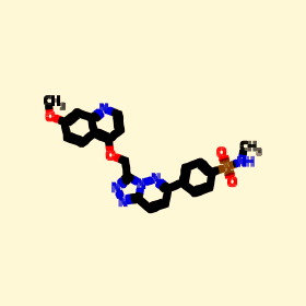 CNS(=O)(=O)c1ccc(-c2ccc3nnc(COc4ccnc5cc(OC)ccc45)n3n2)cc1